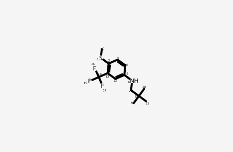 CSc1ccc(NCC(C)(C)C)cc1C(F)(F)F